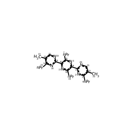 CCCc1nc(-c2nc(CCC)c(-c3ncc(C)c(CCC)n3)nc2CCC)ncc1C